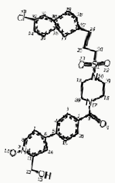 O=C(c1ccc(-c2cc[n+]([O-])c(CO)c2)cc1)N1CCN(S(=O)(=O)CC=Cc2ccc3cc(Cl)ccc3c2)CC1